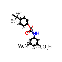 CCC(C)(CC)c1ccc(OC(=O)Nc2cc(NC)cc(C(=O)O)c2)cc1